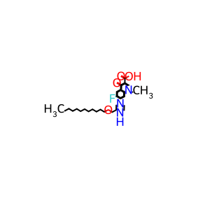 CCCCCCCCCCCCOCC1CN(c2cc3c(cc2F)c(=O)c(C(=O)O)cn3CC)CCN1